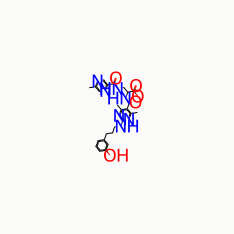 COC(=O)C(CNC(=O)c1cnc(C)cn1)NC(=O)c1c(C)nc(NCCCc2cccc(O)c2)nc1C